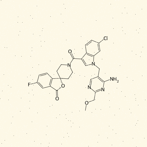 COCc1ncc(Cn2cc(C(=O)N3CCC4(CC3)OC(=O)c3cc(F)ccc34)c3ccc(Cl)cc32)c(N)n1